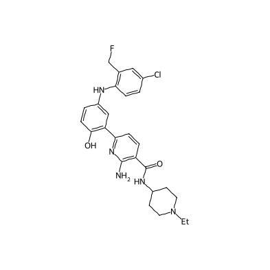 CCN1CCC(NC(=O)c2ccc(-c3cc(Nc4ccc(Cl)cc4CF)ccc3O)nc2N)CC1